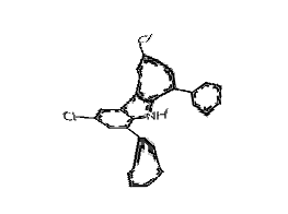 Clc1cc(-c2ccccc2)c2[nH]c3c(-c4ccccc4)cc(Cl)cc3c2c1